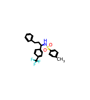 Cc1ccc(S(=O)(=O)NC(CCc2ccccc2)c2ccc(C(F)(F)F)cc2)cc1